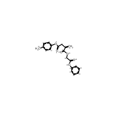 C=C(CC(=O)Oc1ccc(C)cc1)C(=O)OCC(=O)Oc1ccccc1